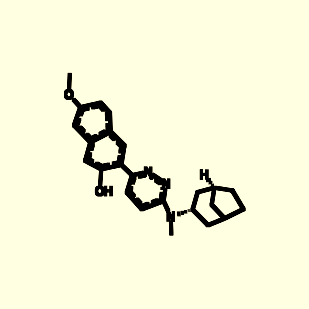 COc1ccc2cc(-c3ccc(N(C)[C@H]4CC5CC[C@@H](C5)C4)nn3)c(O)cc2c1